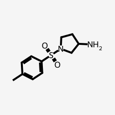 Cc1ccc(S(=O)(=O)N2CCC(N)C2)cc1